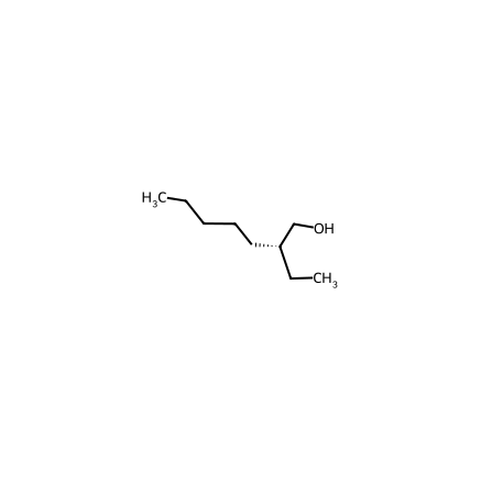 CCCCC[C@@H](CC)CO